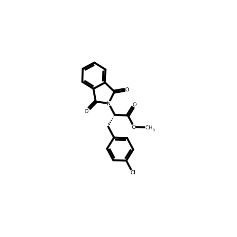 COC(=O)[C@H](Cc1ccc(Cl)cc1)N1C(=O)c2ccccc2C1=O